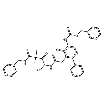 CC(C)C(NC(=O)Cn1c(-c2ccccc2)ncc(NC(=O)OCc2ccccc2)c1=O)C(=O)C(F)(F)C(=O)NCc1ccncc1